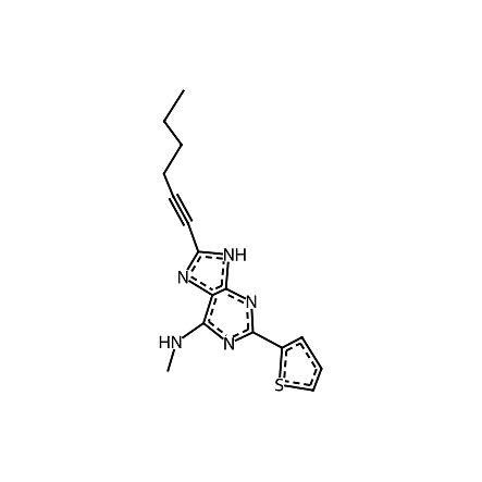 CCCCC#Cc1nc2c(NC)nc(-c3cccs3)nc2[nH]1